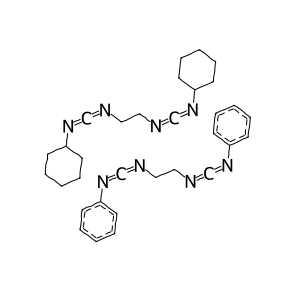 C(=NCCN=C=NC1CCCCC1)=NC1CCCCC1.C(=NCCN=C=Nc1ccccc1)=Nc1ccccc1